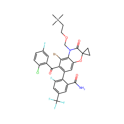 C[Si](C)(C)CCOCN1C(=O)C2(CC2)Oc2cc(-c3c(F)cc(C(F)(F)F)cc3C(N)=O)c(C(=O)c3cc(F)ccc3Cl)c(Br)c21